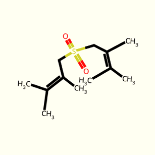 CC(C)=C(C)CS(=O)(=O)CC(C)=C(C)C